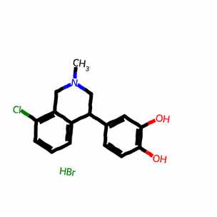 Br.CN1Cc2c(Cl)cccc2C(c2ccc(O)c(O)c2)C1